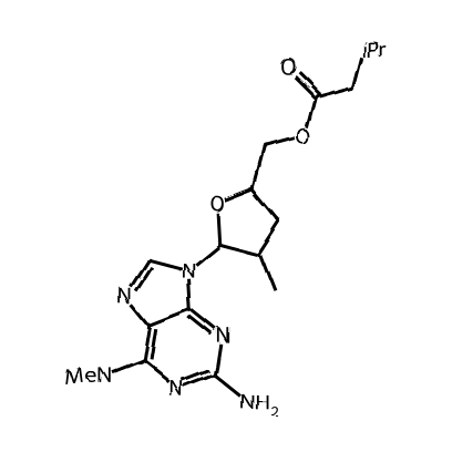 CNc1nc(N)nc2c1ncn2C1OC(COC(=O)CC(C)C)CC1C